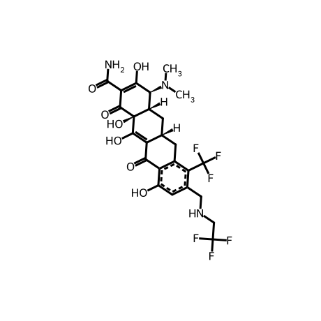 CN(C)[C@@H]1C(O)=C(C(N)=O)C(=O)[C@@]2(O)C(O)=C3C(=O)c4c(O)cc(CNCC(F)(F)F)c(C(F)(F)F)c4C[C@H]3C[C@@H]12